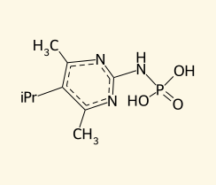 Cc1nc(NP(=O)(O)O)nc(C)c1C(C)C